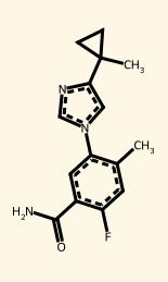 Cc1cc(F)c(C(N)=O)cc1-n1cnc(C2(C)CC2)c1